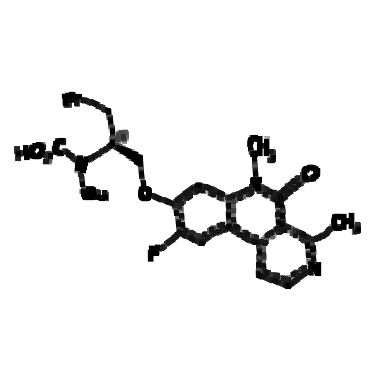 Cc1nccc2c1c(=O)n(C)c1cc(OC[C@H](CC(C)C)N(C(=O)O)C(C)(C)C)c(F)cc21